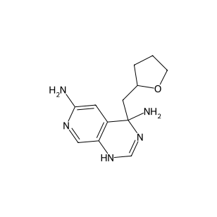 Nc1cc2c(cn1)NC=NC2(N)CC1CCCO1